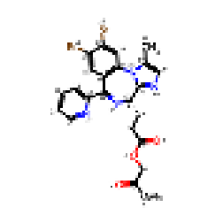 COC(=O)COC(=O)CC[C@@H]1N=C(c2ccccn2)c2cc(Br)c(Br)cc2-n2c(C)cnc21